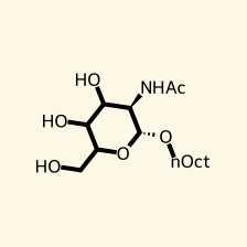 CCCCCCCCO[C@@H]1OC(CO)C(O)C(O)[C@H]1NC(C)=O